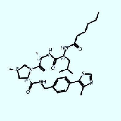 C=C([C@H](C)NC(=O)[C@H](CC(C)C)NC(=O)CCCCC)N1C[C@H](C)C[C@H]1C(=O)NCc1ccc(-c2scnc2C)cc1